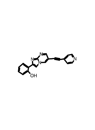 Oc1ccccc1-c1cn2cc(C#Cc3ccncc3)cnc2n1